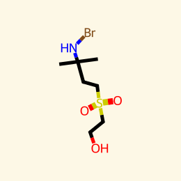 CC(C)(CCS(=O)(=O)CCO)NBr